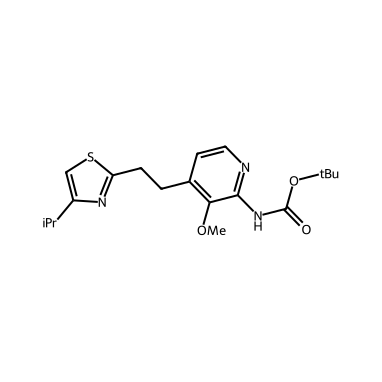 COc1c(CCc2nc(C(C)C)cs2)ccnc1NC(=O)OC(C)(C)C